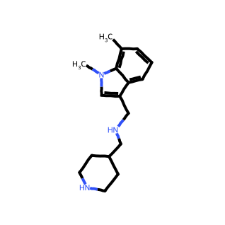 Cc1cccc2c(CNCC3CCNCC3)cn(C)c12